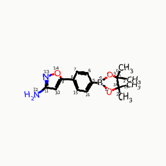 CC1(C)OB(c2ccc(-c3cc(N)no3)cc2)OC1(C)C